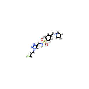 CN(Cc1cn(CCCF)nn1)S(=O)(=O)c1ccc(CN2CCCC2)cc1